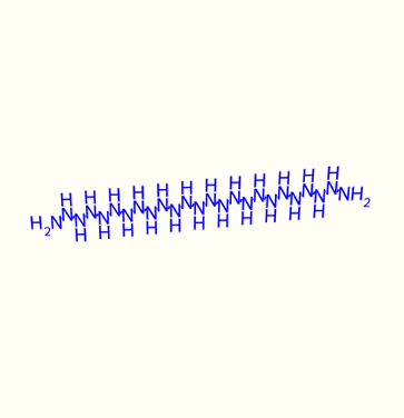 NNNNNNNNNNNNNNNNNNNNNNNNN